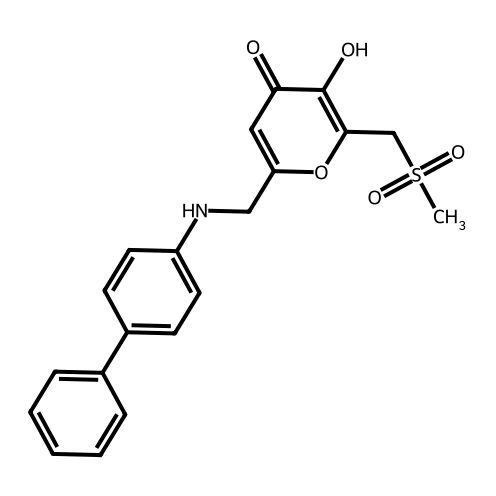 CS(=O)(=O)Cc1oc(CNc2ccc(-c3ccccc3)cc2)cc(=O)c1O